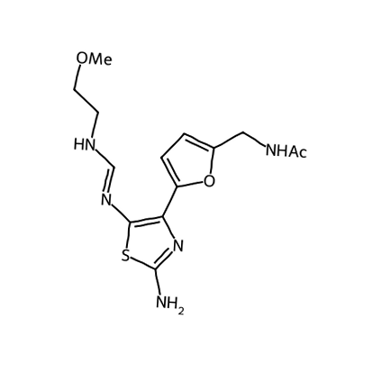 COCCNC=Nc1sc(N)nc1-c1ccc(CNC(C)=O)o1